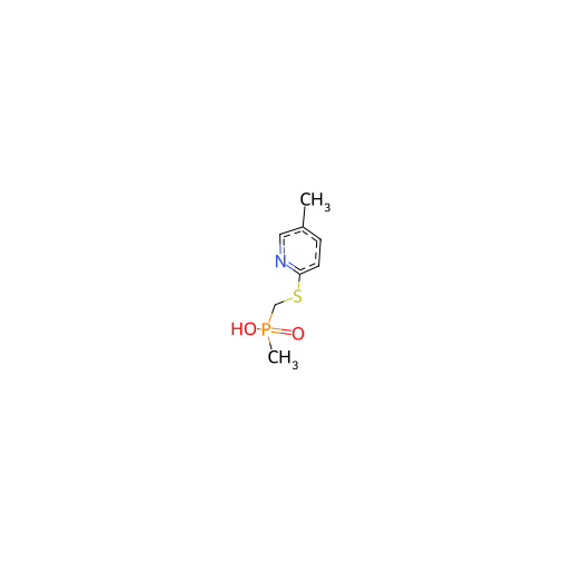 Cc1ccc(SCP(C)(=O)O)nc1